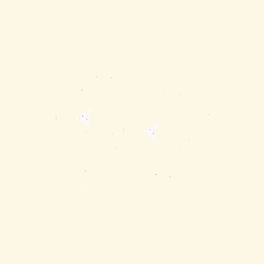 C=O.CN1c2ccccc2Cc2c(Cl)cccc21.CN1c2ccccc2Cc2c(Cl)cccc21